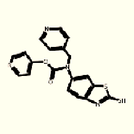 O=C(Oc1ccncc1)N(Cc1ccncc1)c1ccc2nc(S)sc2c1